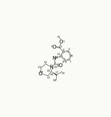 COC(=O)c1cccc2oc(N3CCOC[C@@H]3C(C)C)nc12